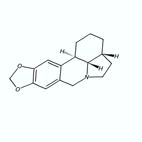 c1c2c(cc3c1OCO3)[C@H]1CCC[C@@H]3CCN(C2)[C@@H]31